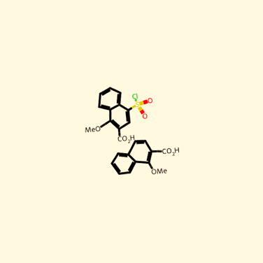 COc1c(C(=O)O)cc(S(=O)(=O)Cl)c2ccccc12.COc1c(C(=O)O)ccc2ccccc12